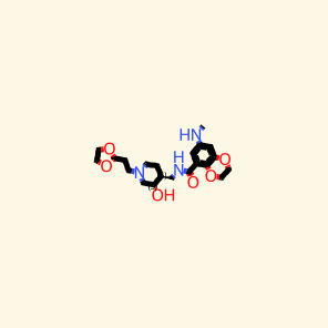 CNc1cc2c(c(C(=O)NC[C@@H]3CCN(CCC4OCCO4)C[C@H]3O)c1)OCCO2